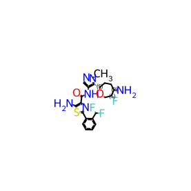 Cn1ncc(NC(=O)c2nc(-c3ccccc3C(F)F)sc2N)c1[C@@H]1CC[C@@H](N)[C@H](F)CO1